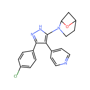 Clc1ccc(-c2n[nH]c(N3CCC4CC3O4)c2-c2ccncc2)cc1